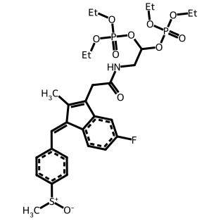 CCOP(=O)(OCC)OC(CNC(=O)CC1=C(C)/C(=C/c2ccc([S+](C)[O-])cc2)c2ccc(F)cc21)OP(=O)(OCC)OCC